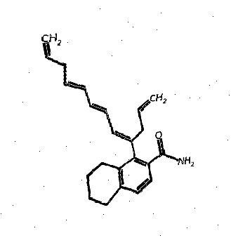 C=CCC=CC=CC=C(CC=C)c1c(C(N)=O)ccc2c1CCCC2